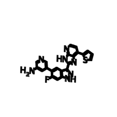 Nc1cncc(-c2cc3c(-c4nc5c(-c6cccs6)ccnc5[nH]4)n[nH]c3cc2F)c1